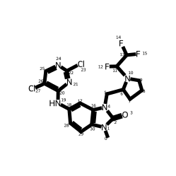 Cn1c(=O)n(CC2CCCN2C(F)C(F)F)c2cc(Nc3nc(Cl)ncc3Cl)ccc21